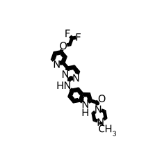 CN1CCN(C(=O)c2cc3cc(Nc4nccc(-c5cc(OCC(F)F)ccn5)n4)ccc3[nH]2)CC1